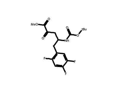 COC(=O)C(=O)CC(Cc1cc(F)c(F)cc1F)NC(=O)OC(C)(C)C